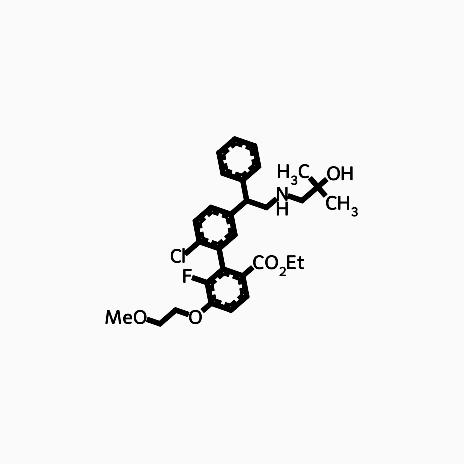 CCOC(=O)c1ccc(OCCOC)c(F)c1-c1cc(C(CNCC(C)(C)O)c2ccccc2)ccc1Cl